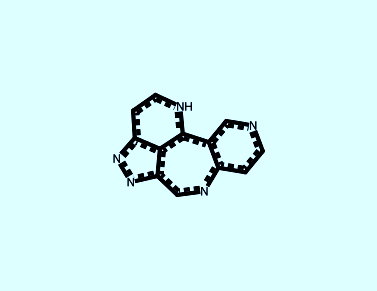 c1cc2ncc3nnc4cc[nH]c(c2cn1)c43